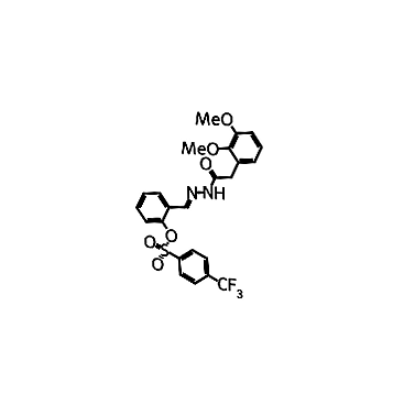 COc1cccc(CC(=O)NN=Cc2ccccc2OS(=O)(=O)c2ccc(C(F)(F)F)cc2)c1OC